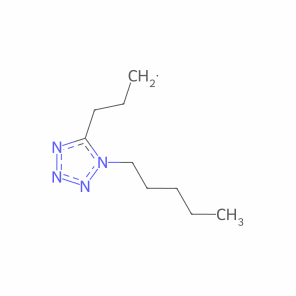 [CH2]CCc1nnnn1CCCCC